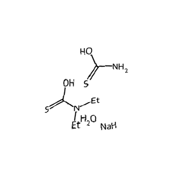 CCN(CC)C(O)=S.NC(O)=S.O.[NaH]